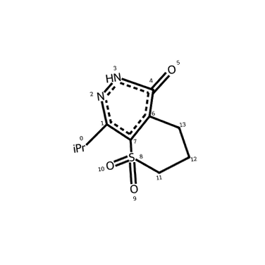 CC(C)c1n[nH]c(=O)c2c1S(=O)(=O)CCC2